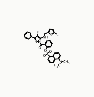 CN(C)c1cccc2c(S(=O)(=O)Oc3ccccc3C(=O)n3nc(-c4ccccc4)c(F)c3NCc3ccc(Cl)s3)cccc12